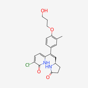 Cc1cc(/C(=C/[C@H]2CCC(=O)N2)c2ccc(Cl)c(=O)[nH]2)ccc1OCCCO